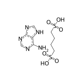 Nc1ncnc2nc[nH]c12.O=S(=O)(O)CCCCS(=O)(=O)O